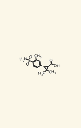 Cc1cc([C@@H]2[C@@H](C(=O)O)C2(C)C)ccc1S(N)(=O)=O